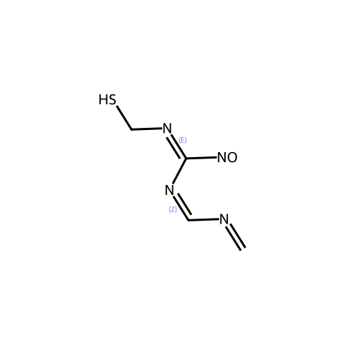 C=N/C=N\C(N=O)=N/CS